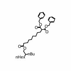 CCCCCCC(CCCC)COC(=O)CCCCCCCCC(C(=O)OCc1ccccc1)C(=O)OCc1ccccc1